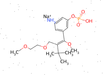 COCCOCC(=C(OC)c1cccc(OP(=O)([O-])O)c1)C(C)(C)C.N.[Na+]